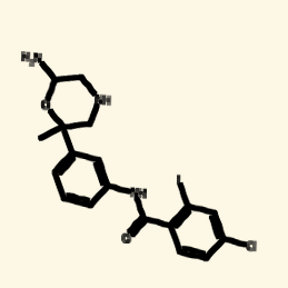 CC1(c2cccc(NC(=O)c3ccc(Cl)cc3I)c2)CNCC(N)O1